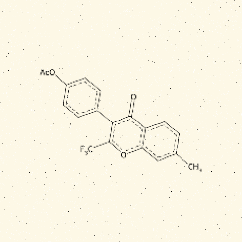 CC(=O)Oc1ccc(-c2c(C(F)(F)F)oc3cc(C)ccc3c2=O)cc1